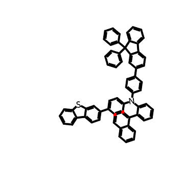 c1ccc(C2(c3ccccc3)c3ccccc3-c3ccc(-c4ccc(N(c5ccc(-c6ccc7c(c6)sc6ccccc67)cc5)c5ccccc5-c5cccc6ccccc56)cc4)cc32)cc1